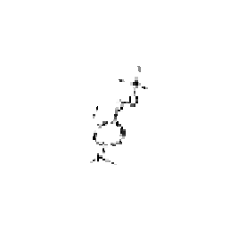 CC.CN(C)c1ccc(OOC(C)(C)C)cc1